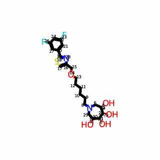 O[C@H]1[C@H](O)[C@@H](O)CN(CCCCCCOCc2csc(-c3cc(F)cc(F)c3)n2)C[C@@H]1O